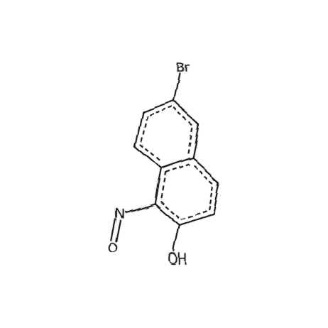 O=Nc1c(O)ccc2cc(Br)ccc12